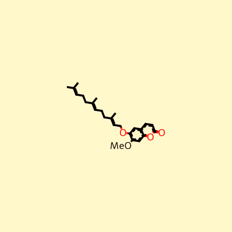 COc1cc2oc(=O)ccc2cc1OC/C=C(\C)CC/C=C(\C)CCC=C(C)C